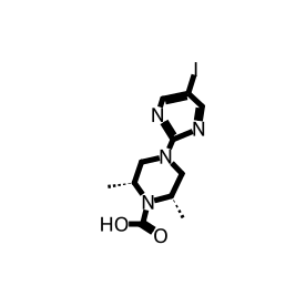 C[C@@H]1CN(c2ncc(I)cn2)C[C@H](C)N1C(=O)O